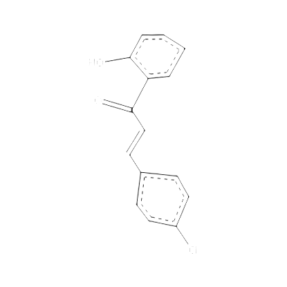 O=C(/C=C/c1ccc(Cl)cc1)c1ccccc1O